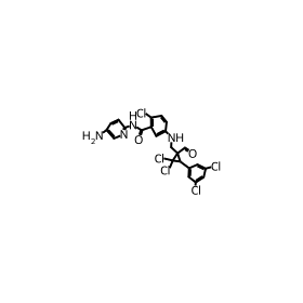 Nc1ccc(NC(=O)c2cc(NCC3(C=O)C(c4cc(Cl)cc(Cl)c4)C3(Cl)Cl)ccc2Cl)nc1